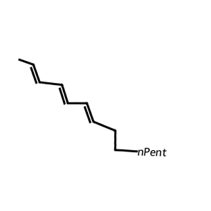 CC=CC=CC=CCCCCCCC